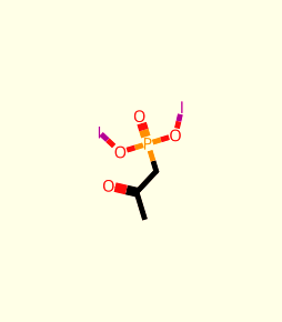 CC(=O)CP(=O)(OI)OI